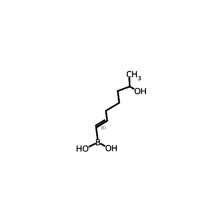 CC(O)CCC/C=C/B(O)O